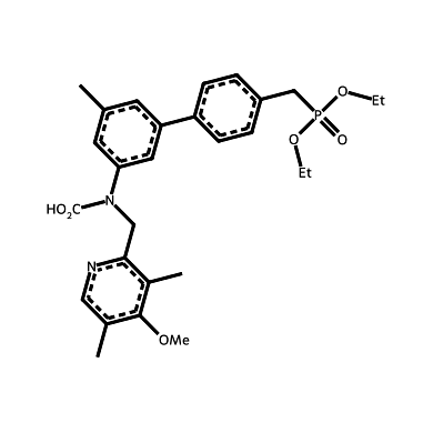 CCOP(=O)(Cc1ccc(-c2cc(C)cc(N(Cc3ncc(C)c(OC)c3C)C(=O)O)c2)cc1)OCC